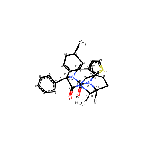 CC1C=CC(C(C(=O)N2C[C@@H]3CC[C@H]([C@H]2C(=O)O)N3C(=O)N(C)Cc2ccsc2)c2ccccc2)=CC1